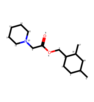 CC1CCC(COC(=O)CN2CCCCC2)C(C)C1